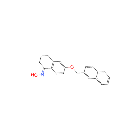 ON=C1CCCc2cc(OCc3ccc4ccccc4c3)ccc21